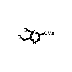 COc1cnc(CCl)c(Cl)n1